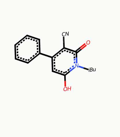 CCC(C)n1c(O)cc(-c2ccccc2)c(C#N)c1=O